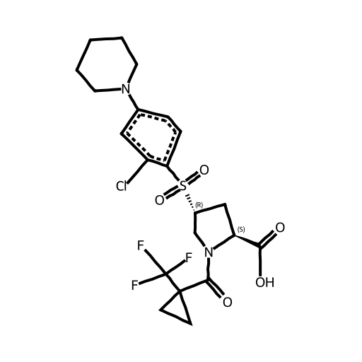 O=C(O)[C@@H]1C[C@@H](S(=O)(=O)c2ccc(N3CCCCC3)cc2Cl)CN1C(=O)C1(C(F)(F)F)CC1